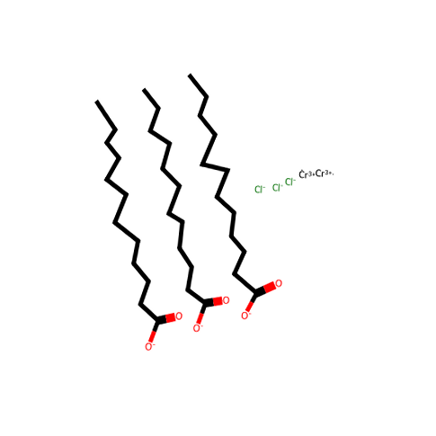 CCCCCCCCCCCC(=O)[O-].CCCCCCCCCCCC(=O)[O-].CCCCCCCCCCCC(=O)[O-].[Cl-].[Cl-].[Cl-].[Cr+3].[Cr+3]